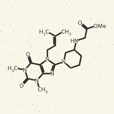 COC(=O)CNC1CCCN(c2nc3c(c(=O)n(C)c(=O)n3C)n2CC=C(C)C)C1